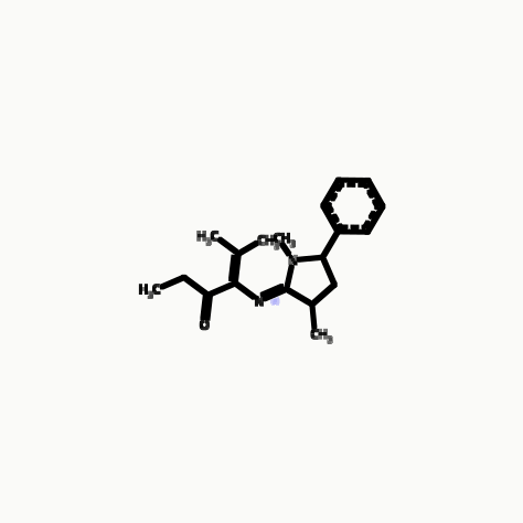 CCC(=O)C(/N=C1/C(C)CC(c2ccccc2)N1C)=C(C)C